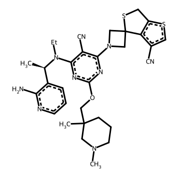 CCN(c1nc(OCC2(C)CCCN(C)C2)nc(N2CC3(C2)SCc2scc(C#N)c23)c1C#N)[C@H](C)c1cccnc1N